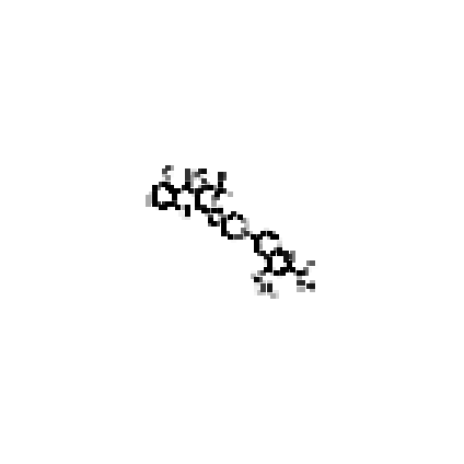 COc1cc(C(=O)O)nc2ccc(N3CCC4(CC3)CC(=Cc3c(-c5c(Cl)cncc5Cl)noc3C(F)(F)F)C4)cc12